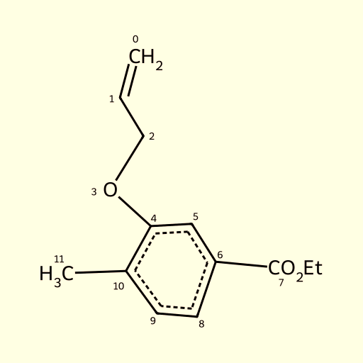 C=CCOc1cc(C(=O)OCC)ccc1C